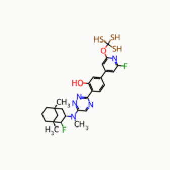 CN(c1cnc(-c2ccc(-c3cc(F)nc(OC(S)(S)S)c3)cc2O)nn1)[C@@H]1C[C@@]2(C)CCC[C@](C)(C2)[C@@H]1F